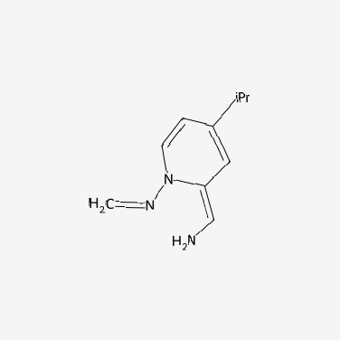 C=NN1C=CC(C(C)C)=C/C1=C/N